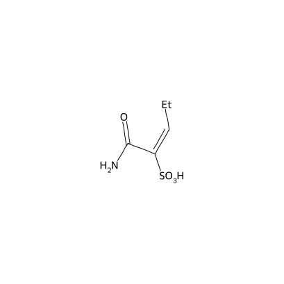 CC/C=C(\C(N)=O)S(=O)(=O)O